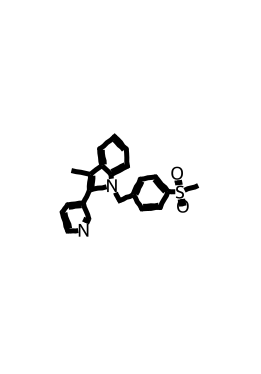 Cc1c(-c2cccnc2)n(Cc2ccc(S(C)(=O)=O)cc2)c2ccccc12